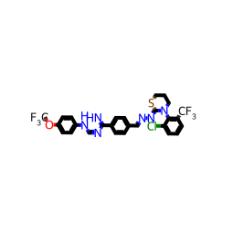 N=C(/N=C\Nc1ccc(OC(F)(F)F)cc1)c1ccc(/C=N/N=C2\SCCCN2c2c(Cl)cccc2C(F)(F)F)cc1